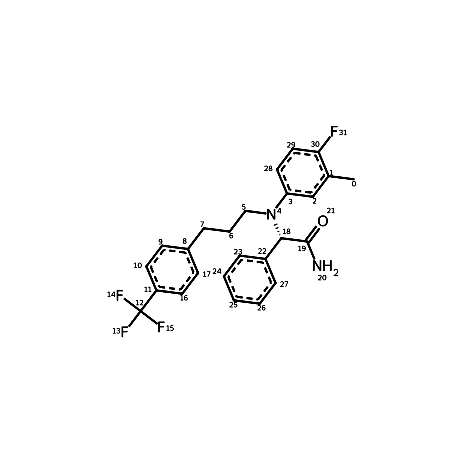 Cc1cc(N(CCCc2ccc(C(F)(F)F)cc2)[C@H](C(N)=O)c2ccccc2)ccc1F